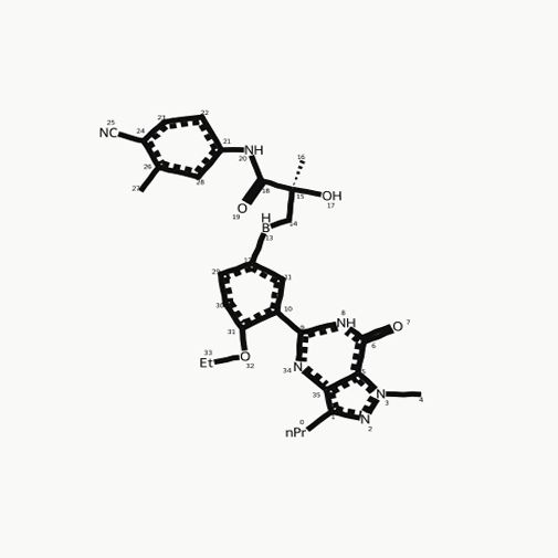 CCCc1nn(C)c2c(=O)[nH]c(-c3cc(BC[C@](C)(O)C(=O)Nc4ccc(C#N)c(C)c4)ccc3OCC)nc12